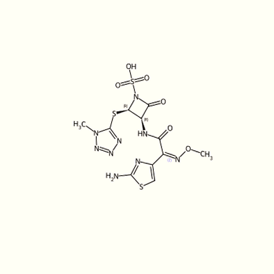 CO/N=C(\C(=O)N[C@@H]1C(=O)N(S(=O)(=O)O)[C@@H]1Sc1nnnn1C)c1csc(N)n1